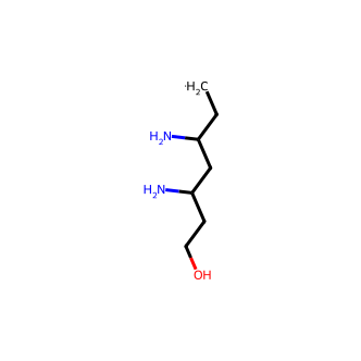 [CH2]CC(N)CC(N)CCO